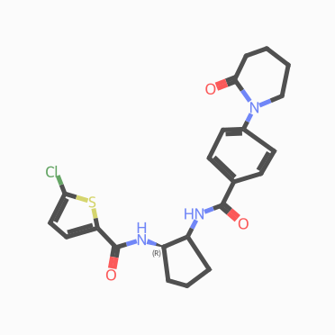 O=C(NC1CCC[C@H]1NC(=O)c1ccc(Cl)s1)c1ccc(N2CCCCC2=O)cc1